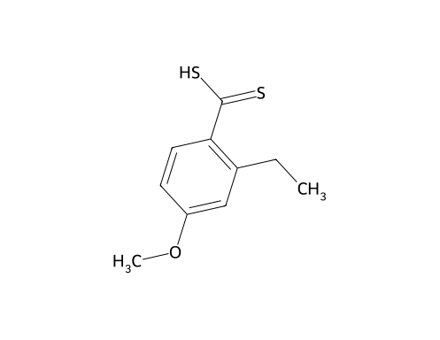 CCc1cc(OC)ccc1C(=S)S